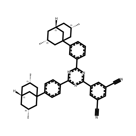 C[C@@H]1C[C@@H]2C[C@H](C)CC(c3ccc(-c4nc(-c5cc(C#N)cc(C#N)c5)nc(-c5cccc(C67C[C@H](C)C[C@H](C[C@H](C)C6)C7)c5)n4)cc3)(C1)C2